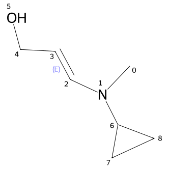 CN(/C=C/CO)C1CC1